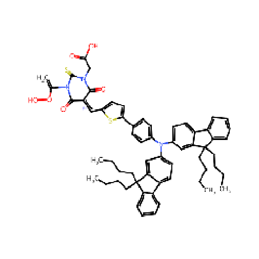 C=C(OO)N1C(=O)/C(=C/c2ccc(-c3ccc(N(c4ccc5c(c4)C(CCCC)(CCCC)c4ccccc4-5)c4ccc5c(c4)C(CCCC)(CCCC)c4ccccc4-5)cc3)s2)C(=O)N(CC(=O)O)C1=S